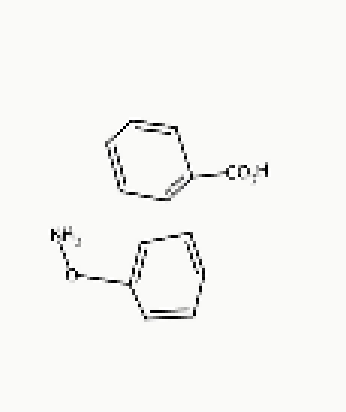 NOc1ccccc1.O=C(O)c1ccccc1